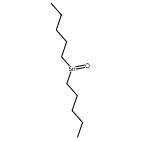 CCCC[CH2][Sn](=[O])[CH2]CCCC